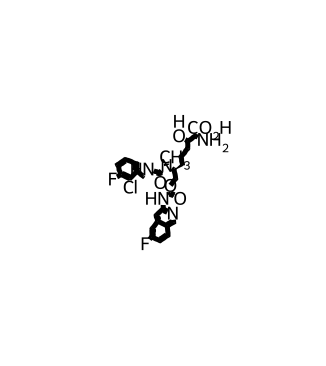 CN(C(=O)NCc1cccc(F)c1Cl)[C@@H](CCCC(O)[C@@H](N)C(=O)O)COC(=O)Nc1cc2cc(F)ccc2cn1